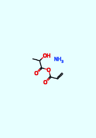 C=CC(=O)OC(=O)C(C)O.N